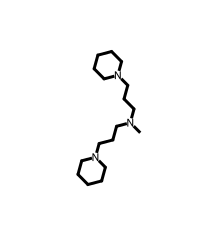 CN(CCCN1CCCCC1)CCCN1CCCCC1